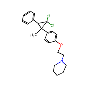 CC1(c2ccc(OCCN3CCCCC3)cc2)C(c2ccccc2)C1(Cl)Cl